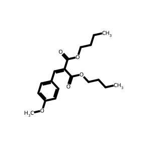 CCCCOC(=O)C(=Cc1ccc(OC)cc1)C(=O)OCCCC